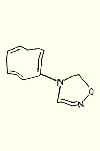 C1=NOCN1c1ccccc1